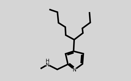 CCCCCC(CCCC)c1ccnc(CNC)c1